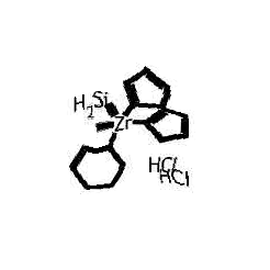 Cl.Cl.[CH3][Zr](=[SiH2])([C]1=CC=CC1)([C]1=CC=CC1)[CH]1CCCCC1